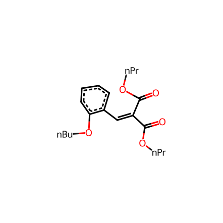 CCCCOc1ccccc1C=C(C(=O)OCCC)C(=O)OCCC